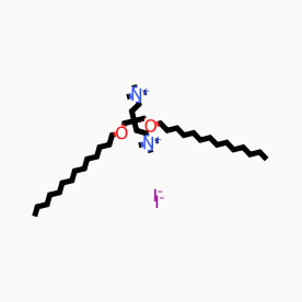 CCCCCCCCCCCCCCOCC(CC[N+](C)(C)C)(CC[N+](C)(C)C)COCCCCCCCCCCCCCC.[I-].[I-]